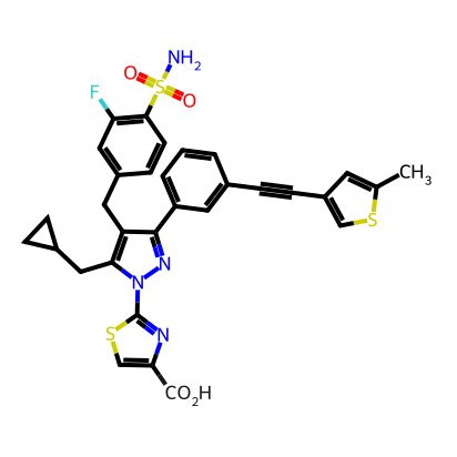 Cc1cc(C#Cc2cccc(-c3nn(-c4nc(C(=O)O)cs4)c(CC4CC4)c3Cc3ccc(S(N)(=O)=O)c(F)c3)c2)cs1